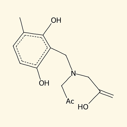 C=C(O)CN(CC(C)=O)Cc1c(O)ccc(C)c1O